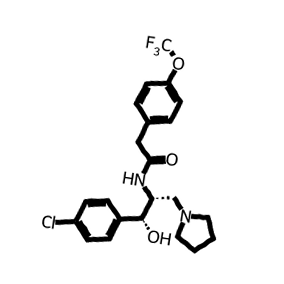 O=C(Cc1ccc(OC(F)(F)F)cc1)N[C@H](CN1CCCC1)[C@H](O)c1ccc(Cl)cc1